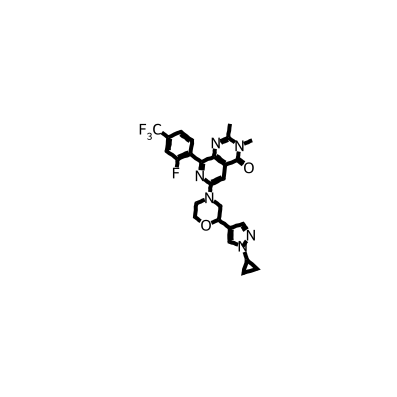 Cc1nc2c(-c3ccc(C(F)(F)F)cc3F)nc(N3CCOC(c4cnn(C5CC5)c4)C3)cc2c(=O)n1C